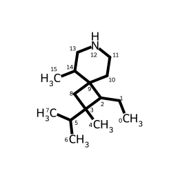 CCC1C(C)(C(C)C)CC12CCNCC2C